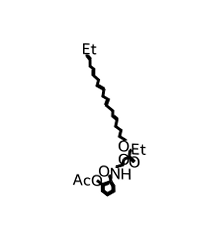 CCC=CCC=CCC=CCC=CCC=CCCCCOC(CC)C(=O)OCCNC(=O)c1ccccc1OC(C)=O